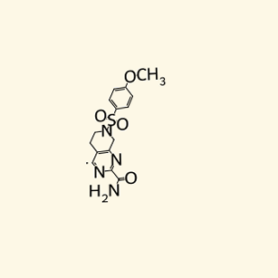 COc1ccc(S(=O)(=O)N2CCc3[c]nc(C(N)=O)nc3C2)cc1